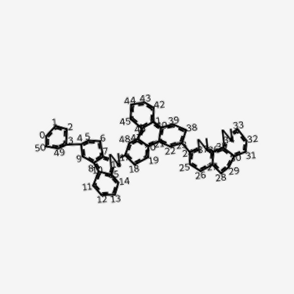 c1ccc(-c2ccc3c(c2)c2ccccc2n3-c2ccc3c4cc(-c5ccc6ccc7cccnc7c6n5)ccc4c4ccccc4c3c2)cc1